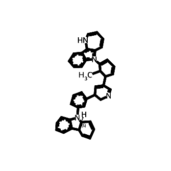 CC1C(n2c3c(c4ccccc42)NC=CC=C3)=CC=CC1C1=CC(c2cccc(N3c4ccccc4C4C=CC=C[C@@H]43)c2)CN=C1